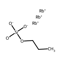 CCCO[Si]([O-])([O-])[O-].[Rb+].[Rb+].[Rb+]